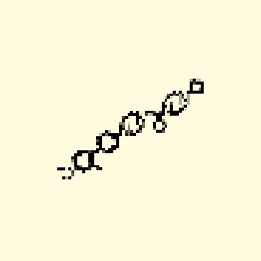 COc1ccc(-c2ccc(N3CCN(CC(=O)N4CCN(C5CCC5)CC4)CC3)cc2)c(C)c1